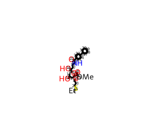 CCSCCCO[C@]1(C(=O)OC)CC(O)C[C@H]([C@H](O)CCNC(=O)c2ccc(-c3ccccc3)cc2)O1